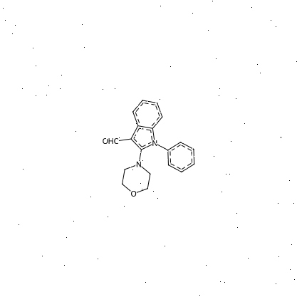 O=Cc1c(N2CCOCC2)n(-c2ccccc2)c2ccccc12